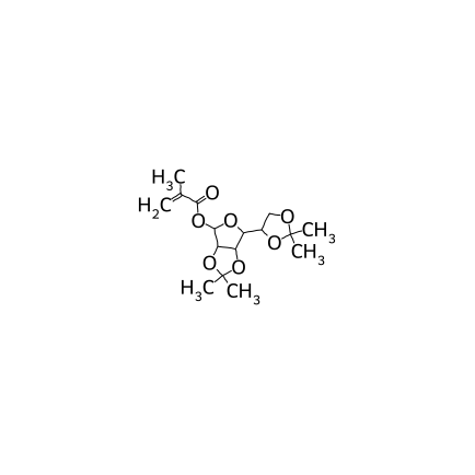 C=C(C)C(=O)OC1OC(C2COC(C)(C)O2)C2OC(C)(C)OC12